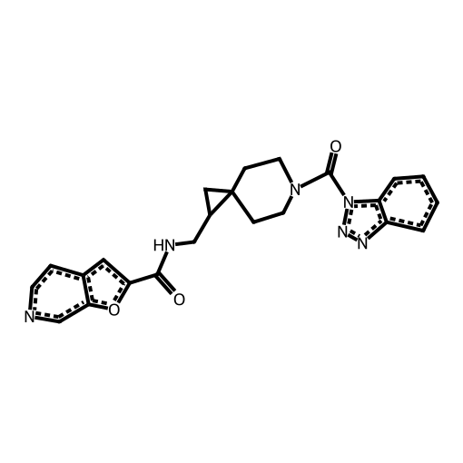 O=C(NCC1CC12CCN(C(=O)n1nnc3ccccc31)CC2)c1cc2ccncc2o1